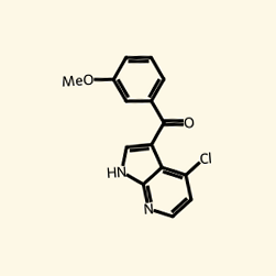 COc1cccc(C(=O)c2c[nH]c3nccc(Cl)c23)c1